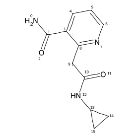 NC(=O)c1cccnc1[CH]C(=O)NC1CC1